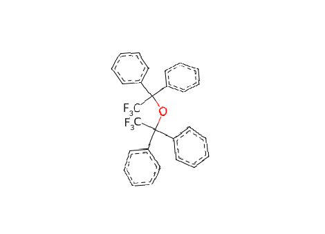 FC(F)(F)C(OC(c1ccccc1)(c1ccccc1)C(F)(F)F)(c1ccccc1)c1ccccc1